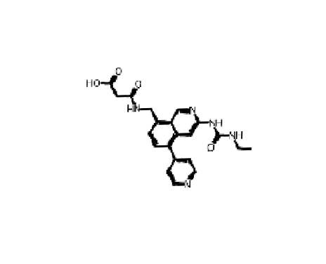 CCNC(=O)Nc1cc2c(-c3ccncc3)ccc(CNC(=O)CC(=O)O)c2cn1